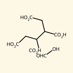 O=C(O)CC(C(=O)O)C(CC(=O)O)C(=O)O.O=CO